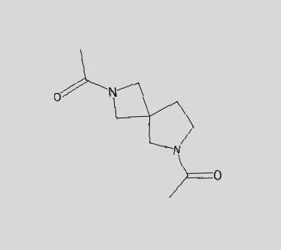 CC(=O)N1CCC2(C1)CN(C(C)=O)C2